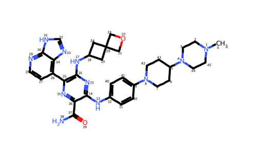 CN1CCN(C2CCN(c3ccc(Nc4nc(NC5CC6(COC6)C5)c(-c5ccnc6[nH]cnc56)nc4C(N)=O)cc3)CC2)CC1